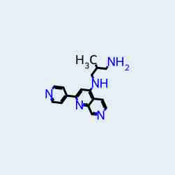 CC(CN)CNc1cc(-c2ccncc2)nc2cnccc12